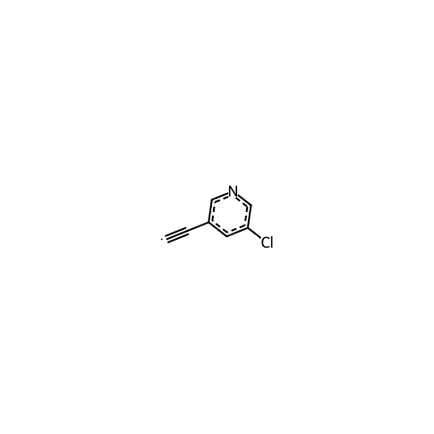 [C]#Cc1cncc(Cl)c1